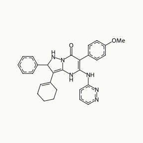 COc1ccc(C2=C(Nc3cccnn3)NC3=C(C4=CCCCC4)C(c4ccccc4)NN3C2=O)cc1